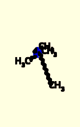 CCCCCCCCCCCCCc1n(C(C)C)cc[n+]1CCCC